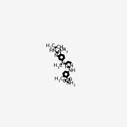 Cc1ccc(Nc2nccc(N(C)c3ccc4c(c3)nc(NC(C)C)n4C)n2)cc1S(N)(=O)=O